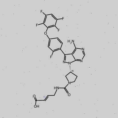 Nc1ncnc2c1c(-c1ccc(Oc3c(F)c(F)cc(F)c3F)cc1F)nn2[C@@H]1CCN(C(=O)NC/C=C/C(=O)O)C1